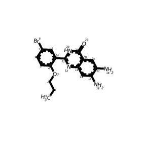 CCCOc1ccc(Br)cc1-c1nc2cc(N)c(N)cc2c(=O)[nH]1